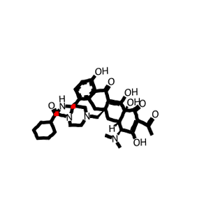 CNCc1ccc(O)c2c1C[C@@]1(CN3CCN(C(=O)C4CCCCC4)CC3)C[C@H]3[C@H](N(C)C)C(O)=C(C(C)=O)C(=O)[C@@]3(O)C(O)=C1C2=O